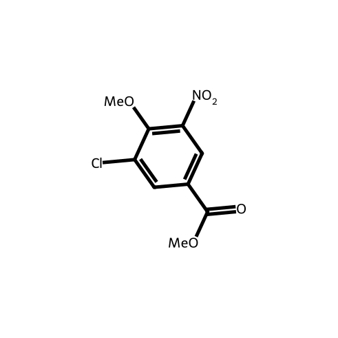 COC(=O)c1cc(Cl)c(OC)c([N+](=O)[O-])c1